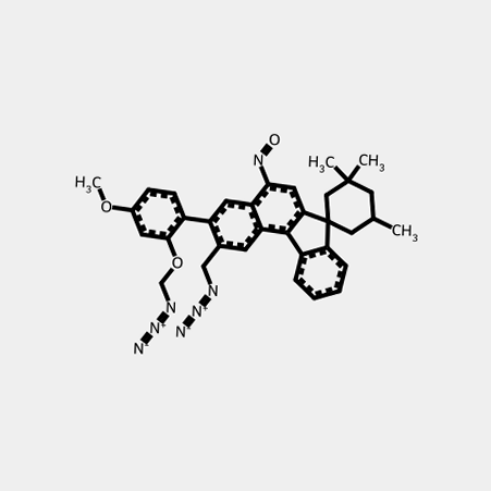 COc1ccc(-c2cc3c(N=O)cc4c(c3cc2CN=[N+]=[N-])-c2ccccc2C42CC(C)CC(C)(C)C2)c(OCN=[N+]=[N-])c1